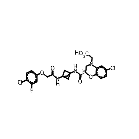 O=C(O)CN1C[C@@H](C(=O)NC23CC(NC(=O)COc4ccc(Cl)c(F)c4)(C2)C3)Oc2ccc(Cl)cc21